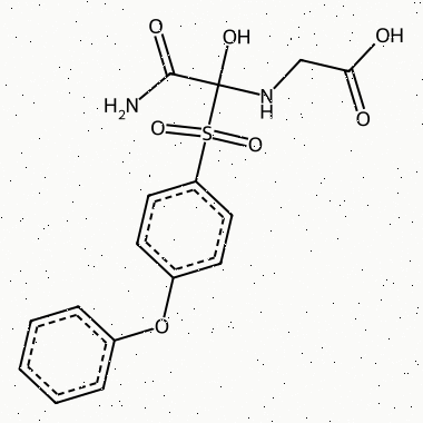 NC(=O)C(O)(NCC(=O)O)S(=O)(=O)c1ccc(Oc2ccccc2)cc1